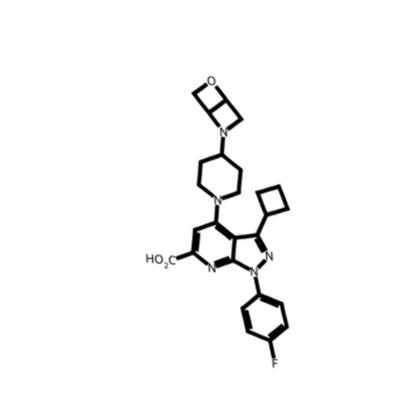 O=C(O)c1cc(N2CCC(N3CC4OCC43)CC2)c2c(C3CCC3)nn(-c3ccc(F)cc3)c2n1